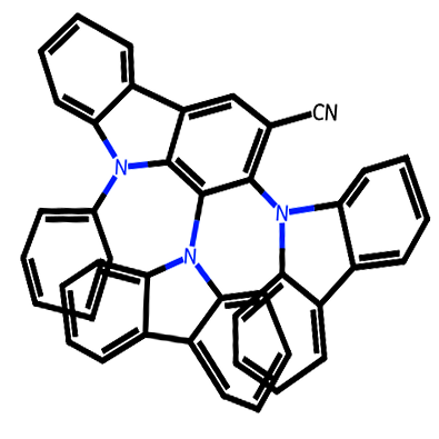 N#Cc1cc2c3ccccc3n(-c3ccccc3)c2c(-n2c3ccccc3c3ccccc32)c1-n1c2ccccc2c2ccccc21